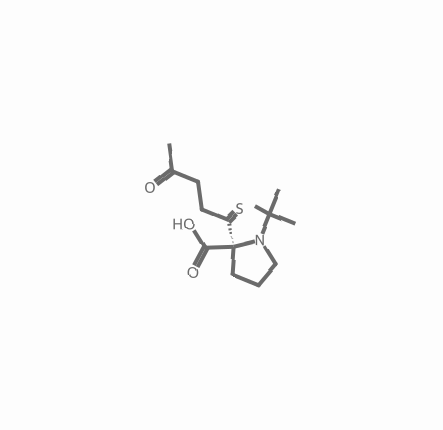 CC(=O)CCC(=S)[C@@]1(C(=O)O)CCCN1C(C)(C)C